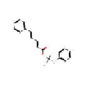 CC(C)(OC(=O)C=CC=Cc1ccccc1)Oc1ccccc1